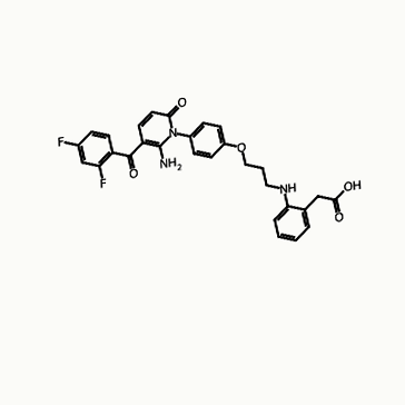 Nc1c(C(=O)c2ccc(F)cc2F)ccc(=O)n1-c1ccc(OCCCNc2ccccc2CC(=O)O)cc1